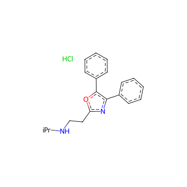 CC(C)NCCc1nc(-c2ccccc2)c(-c2ccccc2)o1.Cl